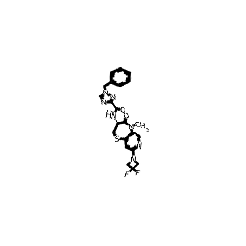 CN1C(=O)[C@@H](NC(=O)c2ncn(Cc3ccccc3)n2)CSc2cc(N3CC(F)(F)C3)ncc21